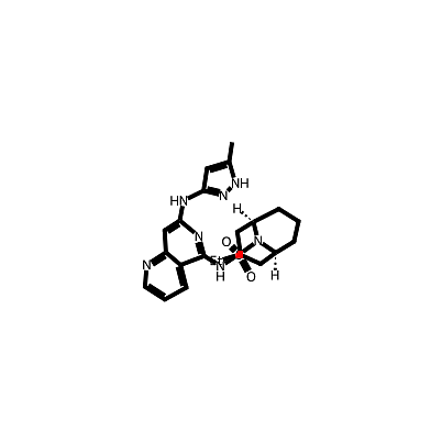 CCS(=O)(=O)N1[C@@H]2CCC[C@H]1C[C@@H](Nc1nc(Nc3cc(C)[nH]n3)cc3ncccc13)C2